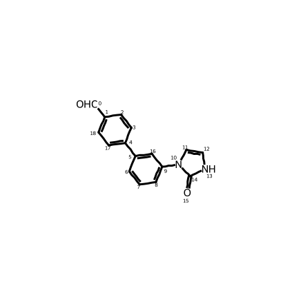 O=Cc1ccc(-c2cccc(-n3cc[nH]c3=O)c2)cc1